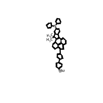 CC(C)(C)c1ccc(-c2ccc(-c3cc4cccc5c6c(c7cccc3c7c45)C(C)(C)c3cc(N(c4ccccc4)c4ccccc4)ccc3-6)cc2)cc1